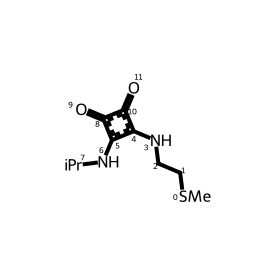 CSCCNc1c(NC(C)C)c(=O)c1=O